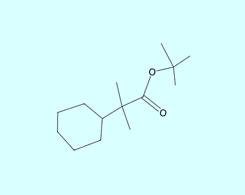 CC(C)(C)OC(=O)C(C)(C)C1CCCCC1